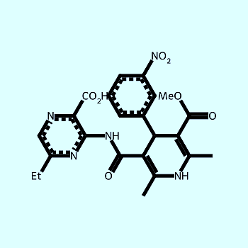 CCc1cnc(C(=O)O)c(NC(=O)C2=C(C)NC(C)=C(C(=O)OC)C2c2cccc([N+](=O)[O-])c2)n1